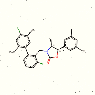 COc1cc(F)c(C(C)C)cc1-c1cccc(F)c1CN1C(=O)O[C@H](c2cc(C)cc(C(F)(F)F)c2)[C@@H]1C